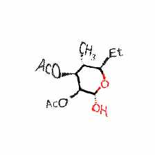 CC[C@H]1O[C@H](O)[C@@H](OC(C)=O)[C@@H](OC(C)=O)[C@@H]1C